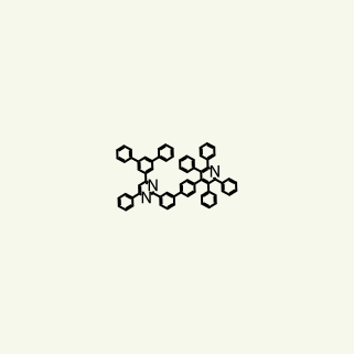 c1ccc(-c2cc(-c3ccccc3)cc(-c3cc(-c4ccccc4)nc(-c4cccc(-c5ccc(-c6c(-c7ccccc7)c(-c7ccccc7)nc(-c7ccccc7)c6-c6ccccc6)cc5)c4)n3)c2)cc1